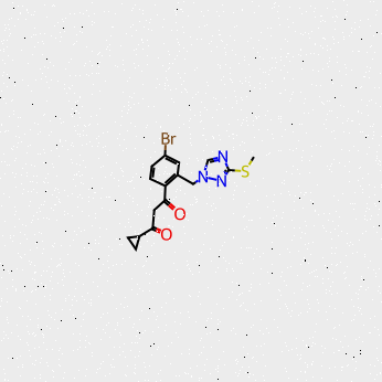 CSc1ncn(Cc2cc(Br)ccc2C(=O)CC(=O)C2CC2)n1